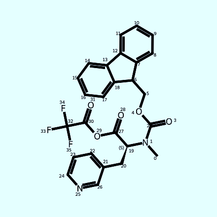 CN(C(=O)OCC1c2ccccc2-c2ccccc21)[C@@H](Cc1cccnc1)C(=O)OC(=O)C(F)(F)F